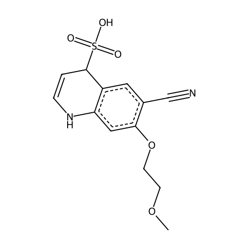 COCCOc1cc2c(cc1C#N)C(S(=O)(=O)O)C=CN2